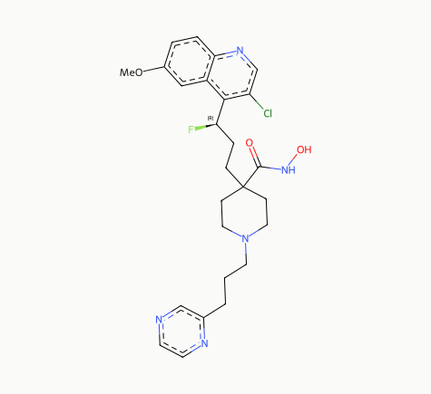 COc1ccc2ncc(Cl)c([C@H](F)CCC3(C(=O)NO)CCN(CCCc4cnccn4)CC3)c2c1